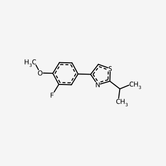 COc1ccc(-c2csc(C(C)C)n2)cc1F